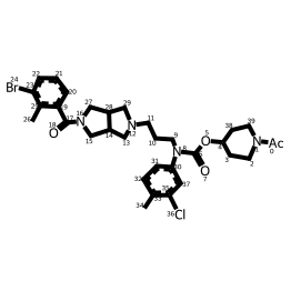 CC(=O)N1CCC(OC(=O)N(CCCN2CC3CN(C(=O)c4cccc(Br)c4C)CC3C2)c2ccc(C)c(Cl)c2)CC1